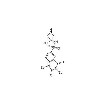 CCn1c(=O)c2cc(S(=O)(=O)NC3(C)CNC3)ccc2n(CC)c1=O